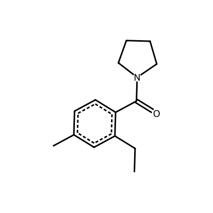 CCc1cc(C)ccc1C(=O)N1CCCC1